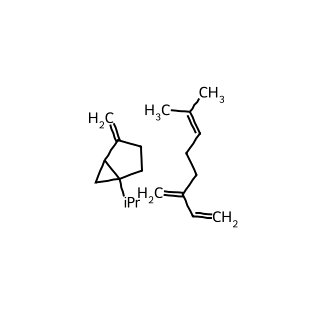 C=C1CCC2(C(C)C)CC12.C=CC(=C)CCC=C(C)C